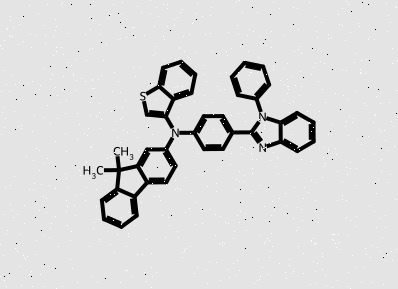 CC1(C)c2ccccc2-c2ccc(N(c3ccc(-c4nc5ccccc5n4-c4ccccc4)cc3)c3csc4ccccc34)cc21